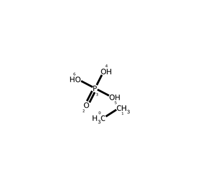 CC.O=P(O)(O)O